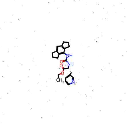 CCOC(=O)[C@@H](Cc1cccnc1)NC(=O)Nc1c2c(cc3c1CCC3)CCC2